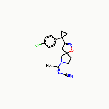 C/C(=N/C#N)N1CCC2(CC(C3(c4ccc(Cl)cc4)CC3)=NO2)C1